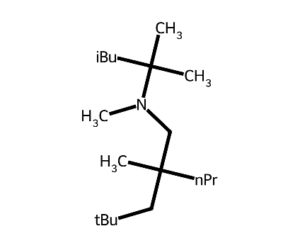 CCCC(C)(CN(C)C(C)(C)C(C)CC)CC(C)(C)C